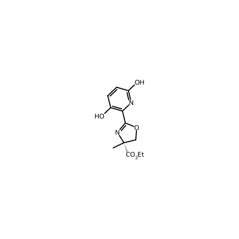 CCOC(=O)[C@@]1(C)COC(c2nc(O)ccc2O)=N1